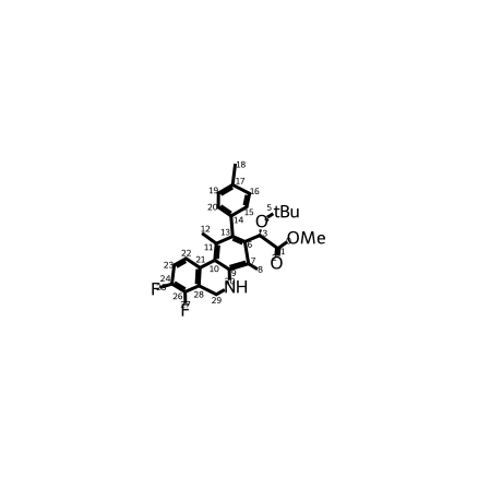 COC(=O)[C@@H](OC(C)(C)C)c1c(C)c2c(c(C)c1-c1ccc(C)cc1)-c1ccc(F)c(F)c1CN2